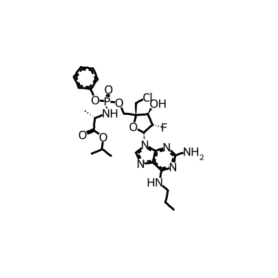 CCCNc1nc(N)nc2c1ncn2[C@@H]1O[C@](CCl)(CO[P@@](=O)(N[C@@H](C)C(=O)OC(C)C)Oc2ccccc2)[C@@H](O)[C@@H]1F